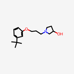 CC(C)(C)c1cccc(OCCCN2CCC(O)C2)c1